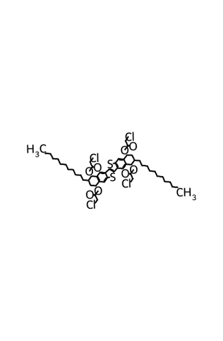 CCCCCCCCCCCCC1CC(OC(=O)CCl)c2cc3sc4c5cc6c(cc5sc4c3cc2C1OC(=O)CCl)C(OC(=O)CCl)CC(CCCCCCCCCCCC)C6OC(=O)CCl